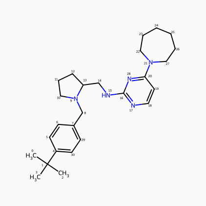 CC(C)(C)c1ccc(CN2CCCC2CNc2nccc(N3CCCCCC3)n2)cc1